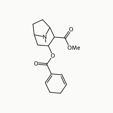 COC(=O)C1C(OC(=O)C2=CCCC=C2)CC2CCC1N2C